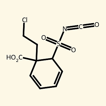 O=C=NS(=O)(=O)C1C=CC=CC1(CCCl)C(=O)O